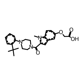 Cn1c(C(=O)N2CCN(c3ccccc3C(C)(C)C)CC2)cc2cc(OCC(=O)O)ccc21